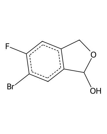 OC1OCc2cc(F)c(Br)cc21